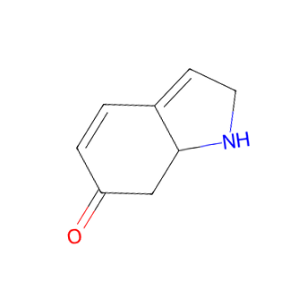 O=C1C=CC2=CCNC2C1